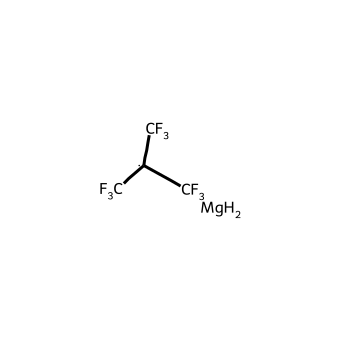 FC(F)(F)[C](C(F)(F)F)C(F)(F)F.[MgH2]